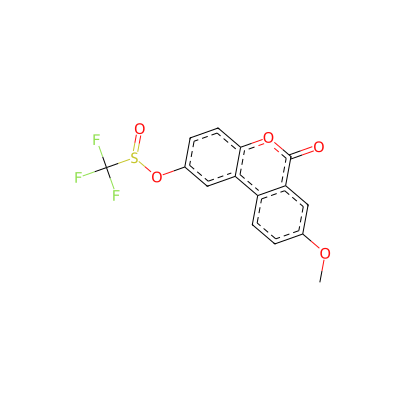 COc1ccc2c(c1)c(=O)oc1ccc(OS(=O)C(F)(F)F)cc12